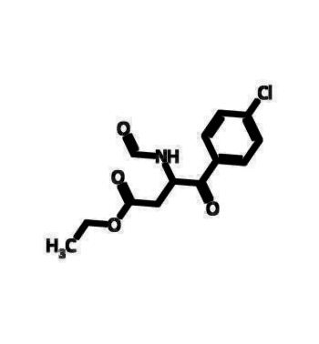 CCOC(=O)CC(NC=O)C(=O)c1ccc(Cl)cc1